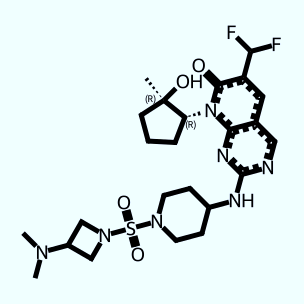 CN(C)C1CN(S(=O)(=O)N2CCC(Nc3ncc4cc(C(F)F)c(=O)n([C@@H]5CCC[C@@]5(C)O)c4n3)CC2)C1